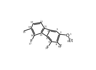 CCOc1cc2c(c(F)c1F)-c1c-2ccc(C)c1F